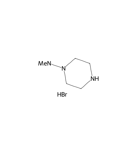 Br.CNN1CCNCC1